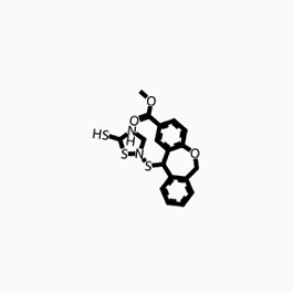 COC(=O)c1ccc2c(c1)C(SN1CNC(S)S1)c1ccccc1CO2